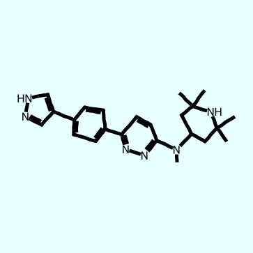 CN(c1ccc(-c2ccc(-c3cn[nH]c3)cc2)nn1)C1CC(C)(C)NC(C)(C)C1